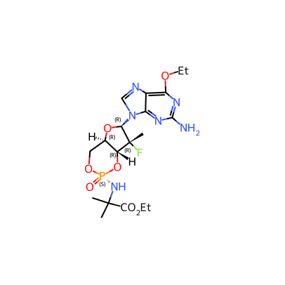 CCOC(=O)C(C)(C)N[P@]1(=O)OC[C@H]2O[C@@H](n3cnc4c(OCC)nc(N)nc43)[C@](C)(F)[C@@H]2O1